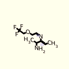 C/C=C(\N=C/COCC(F)(F)F)C(C)N